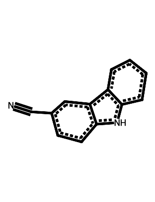 N#Cc1ccc2[nH]c3ccccc3c2c1